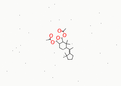 CC(=O)O[C@@H]1O[C@H](OC(C)=O)C2C1CCC(/C(C)=C1/CCCC1(C)C)C2(C)C